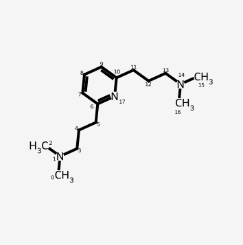 CN(C)CCCc1cccc(CCCN(C)C)n1